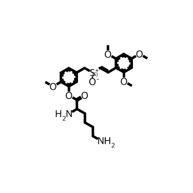 COc1cc(OC)c(C=C[S@+]([O-])Cc2ccc(OC)c(OC(=O)C(N)CCCCN)c2)c(OC)c1